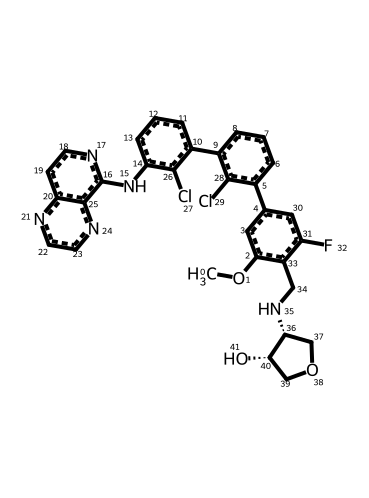 COc1cc(-c2cccc(-c3cccc(Nc4nccc5nccnc45)c3Cl)c2Cl)cc(F)c1CN[C@@H]1COC[C@@H]1O